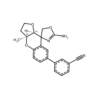 C[C@]12CCO[C@H]1C1(COC(N)=N1)c1cc(-c3cccc(C#N)c3)ccc1O2